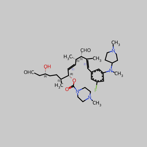 C/C(=C\c1cc(F)cc(N(C)C2CCN(C)CC2)c1)[C@@H](C=O)[C@@H](C)/C=C/[C@H](OC(=O)N1CCN(C)CC1)[C@@H](C)CC[C@@H](O)CC=O